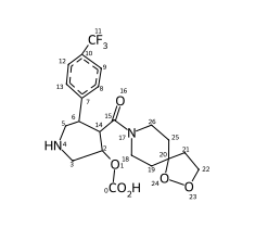 O=C(O)OC1CNCC(c2ccc(C(F)(F)F)cc2)C1C(=O)N1CCC2(CCOO2)CC1